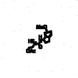 COc1ccc2c(c1)C(NC(=O)N(S)CCOC(C)=O)CC2